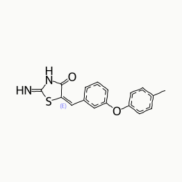 Cc1ccc(Oc2cccc(/C=C3/SC(=N)NC3=O)c2)cc1